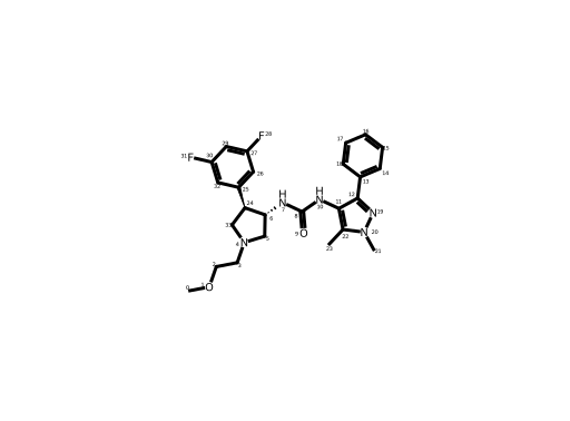 COCCN1C[C@@H](NC(=O)Nc2c(-c3ccccc3)nn(C)c2C)[C@H](c2cc(F)cc(F)c2)C1